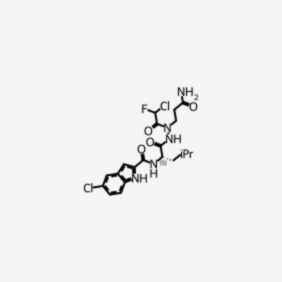 CC(C)C[C@H](NC(=O)c1cc2cc(Cl)ccc2[nH]1)C(=O)NN(CCC(N)=O)C(=O)C(F)Cl